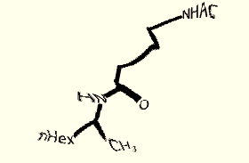 CCCCCCC(C)NC(=O)CCCNC(C)=O